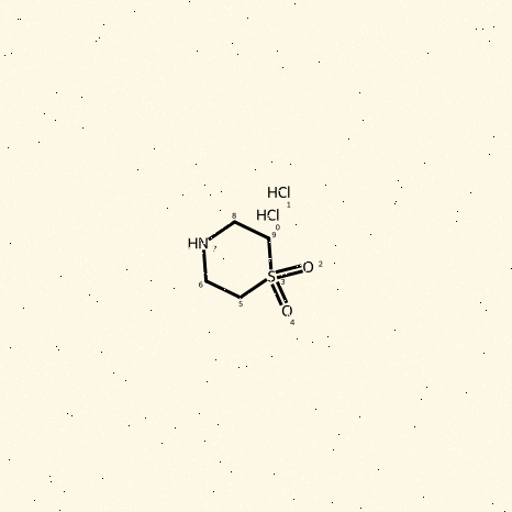 Cl.Cl.O=S1(=O)CCNCC1